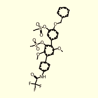 COc1cc(-c2ccc(NC(=O)C(F)(F)F)cc2)c(OC)c(OS(C)(=O)=O)c1-c1ccc(OCc2ccccc2)c(OS(C)(=O)=O)c1